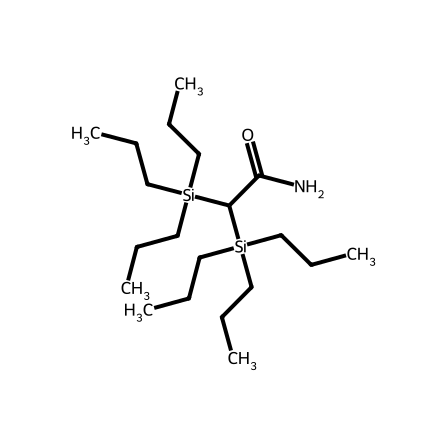 CCC[Si](CCC)(CCC)C(C(N)=O)[Si](CCC)(CCC)CCC